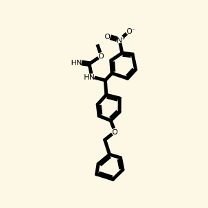 COC(=N)NC(c1ccc(OCc2ccccc2)cc1)c1cccc([N+](=O)[O-])c1